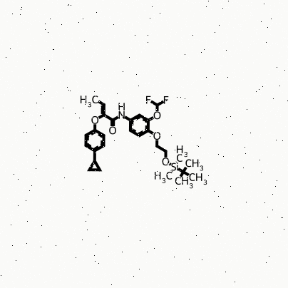 C/C=C(\Oc1ccc(C2CC2)cc1)C(=O)Nc1ccc(OCCO[Si](C)(C)C(C)(C)C)c(OC(F)F)c1